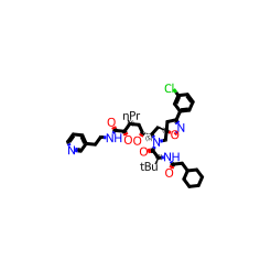 CCC[C@H](CC(=O)[C@@H]1C[C@]2(CC(c3cccc(Cl)c3)=NO2)CN1C(=O)[C@@H](NC(=O)CC1CCCCC1)C(C)(C)C)C(=O)C(=O)NCCc1cccnc1